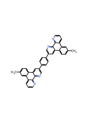 Cc1ccc2c(c1)c1cccnc1c1ncc(-c3ccc(-c4cnc5c(c4)c4ccc(C)cc4c4cccnc45)cc3)cc21